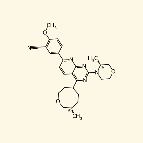 COc1ccc(-c2ccc3c(C4CCOC[C@H](C)CC4)nc(N4CCOC[C@@H]4C)nc3n2)cc1C#N